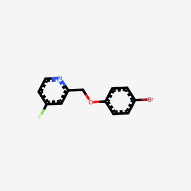 Fc1ccnc(COc2ccc(Br)cc2)c1